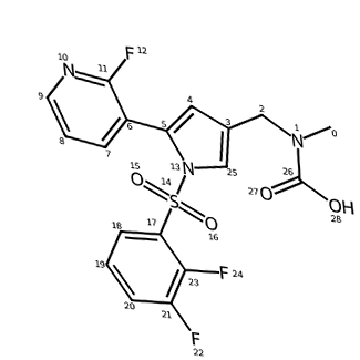 CN(Cc1cc(-c2cccnc2F)n(S(=O)(=O)c2cccc(F)c2F)c1)C(=O)O